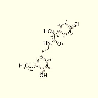 COc1cc(CCNC(=O)[C@@H](O)c2ccc(Cl)cc2)ccc1O